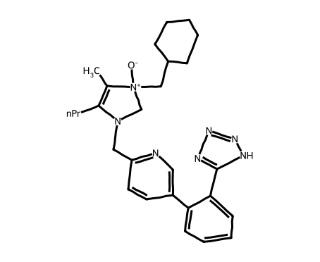 CCCC1=C(C)[N+]([O-])(CC2CCCCC2)CN1Cc1ccc(-c2ccccc2-c2nnn[nH]2)cn1